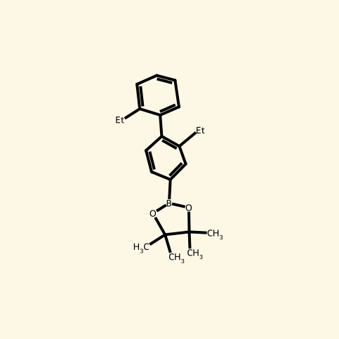 CCc1ccccc1-c1ccc(B2OC(C)(C)C(C)(C)O2)cc1CC